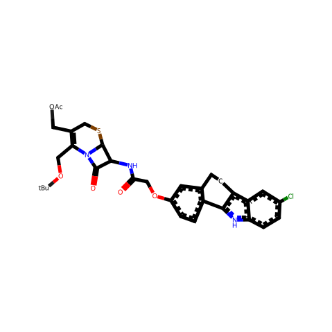 CC(=O)OCC1=C(COC(C)(C)C)N2C(=O)C(NC(=O)COc3ccc4c(c3)CCc3c-4[nH]c4ccc(Cl)cc34)C2SC1